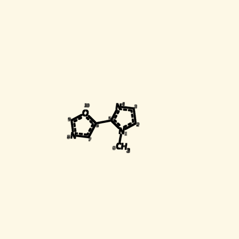 Cn1ccnc1-c1cnco1